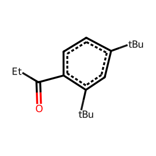 CCC(=O)c1ccc(C(C)(C)C)cc1C(C)(C)C